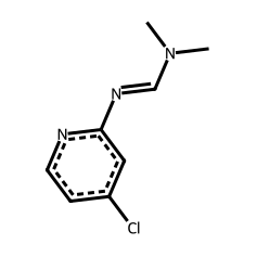 CN(C)C=Nc1cc(Cl)ccn1